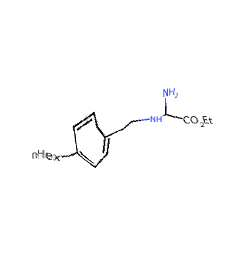 CCCCCCc1ccc(CNC(N)C(=O)OCC)cc1